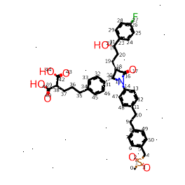 CS(=O)(=O)Cc1ccc(CCc2ccc(N3C(=O)[C@H](CC[C@H](O)c4ccc(F)cc4)[C@H]3c3ccc(CCCC(C(=O)O)C(=O)O)cc3)cc2)cc1